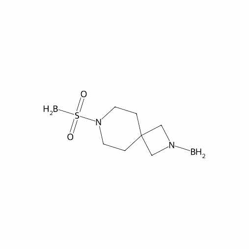 BN1CC2(CCN(S(B)(=O)=O)CC2)C1